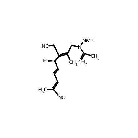 C=C(C)N(C/C(C)=C(\CC#N)[C@@H](/C=C/C=C(\C)N=O)CC)NC